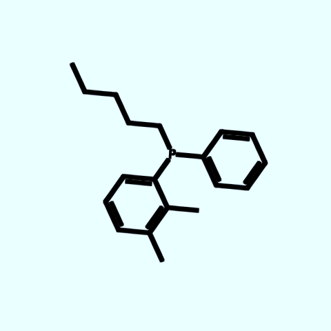 CCCCCP(c1ccccc1)c1cccc(C)c1C